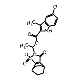 Cc1c(C(=O)OC(C)N2C(=O)C3=C(C4CCC3CC4)S2(=O)=O)[nH]c2ccc(Cl)cc12